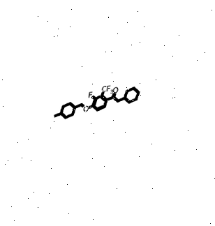 CC1CCC(COc2ccc(C(=O)CC3CCCCC3)c(C(F)(F)F)c2F)CC1